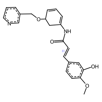 COc1ccc(/C=C/C(=O)NC2=CC=CC(OCc3cccnc3)C2)cc1O